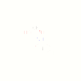 O=C(NCC(O)(O)C(F)(F)F)c1ccc(Cl)cc1